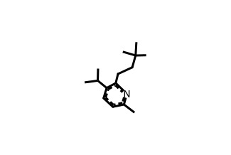 Cc1ccc(C(C)C)c(CCC(C)(C)C)n1